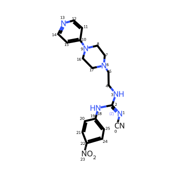 N#C/N=C(/NCCN1CCN(c2ccncc2)CC1)Nc1ccc([N+](=O)[O-])cc1